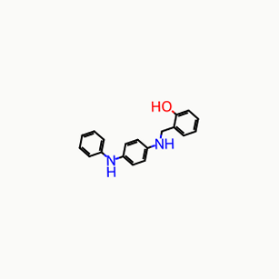 Oc1ccccc1CNc1ccc(Nc2ccccc2)cc1